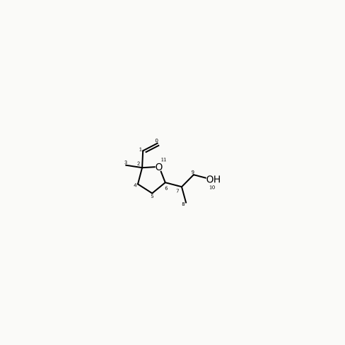 C=CC1(C)CCC(C(C)CO)O1